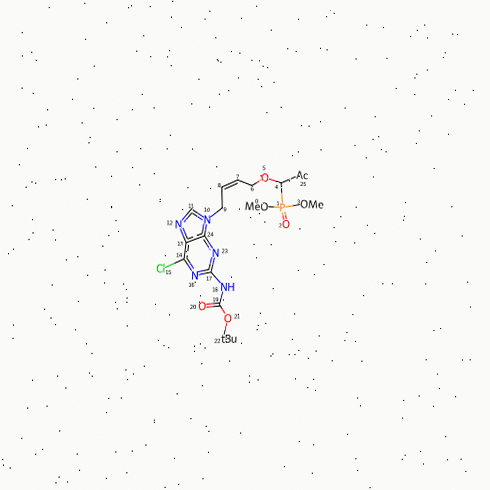 COP(=O)(OC)C(OC/C=C\Cn1cnc2c(Cl)nc(NC(=O)OC(C)(C)C)nc21)C(C)=O